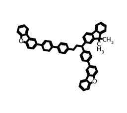 CC1(C)c2ccccc2-c2ccc(C(CCc3ccc(C4=CC=C(c5ccc6oc7ccccc7c6c5)CC4)cc3)c3ccc(-c4ccc5oc6ccccc6c5c4)cc3)cc21